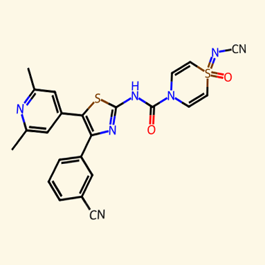 Cc1cc(-c2sc(NC(=O)N3C=CS(=O)(=NC#N)C=C3)nc2-c2cccc(C#N)c2)cc(C)n1